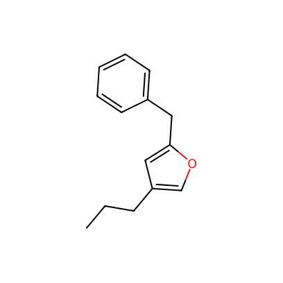 CCCc1coc(Cc2ccccc2)c1